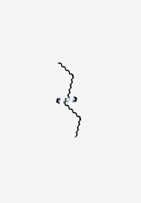 CCCCCCCC/C=C\CCCCCCC[CH](n1cccc1)[Ti]([Cl])([Cl])[CH](CCCCCCC/C=C\CCCCCCCC)n1cccc1